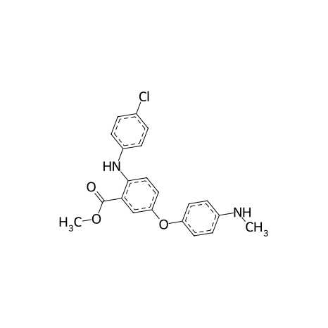 CNc1ccc(Oc2ccc(Nc3ccc(Cl)cc3)c(C(=O)OC)c2)cc1